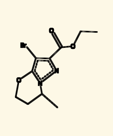 CCOC(=O)c1nn2c(c1Br)OCCC2C